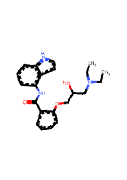 CCN(CC)CC(O)COc1ccccc1C(=O)Nc1cccc2[nH]ccc12